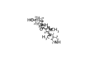 CN(CC1CCNCC1)c1cc(C(=O)N[C@H]2C3CC4CC2C[C@](O)(C4)C3)nn1C